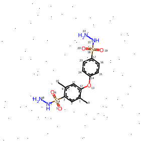 Cc1cc(S(=O)(=O)NN)c(C)cc1Oc1ccc(S(=O)(=O)NN)cc1